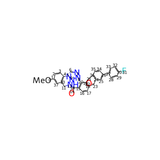 COc1ccc(-n2cnnn2)c(CNC(=O)c2ccc3c(c2)C2OC3c3cc(-c4ccc(F)cc4)ccc32)c1